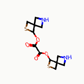 O=C(OC1SCC12CNC2)C(=O)OC1SCC12CNC2